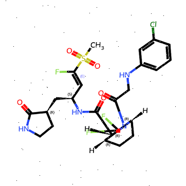 CS(=O)(=O)/C(F)=C/[C@H](C[C@H]1CCNC1=O)NC(=O)[C@H]1[C@H]2CC[C@H](CC2(F)F)N1C(=O)CNc1cccc(Cl)c1